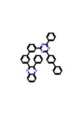 c1ccc(-c2ccc(-c3nc(-c4ccccc4)nc(-c4cccc(-c5cccc(-c6nc7ccccc7nc6-c6ccccc6)c5)c4)n3)cc2)cc1